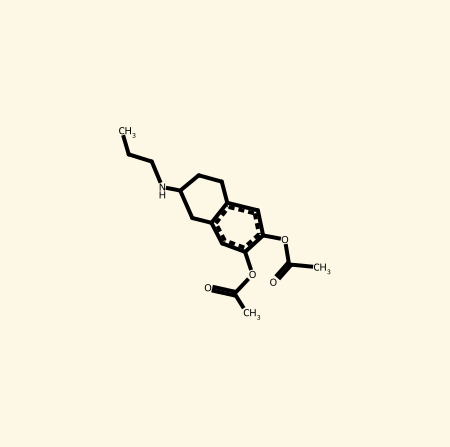 CCCNC1CCc2cc(OC(C)=O)c(OC(C)=O)cc2C1